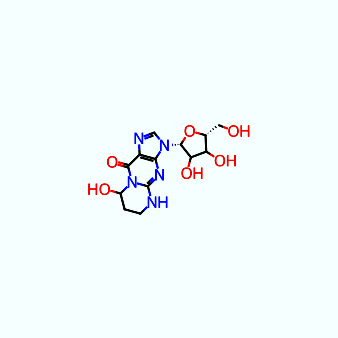 O=c1c2ncn([C@@H]3O[C@H](CO)C(O)C3O)c2nc2n1C(O)CCN2